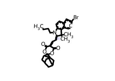 CCCCN1/C(=C\C=C2C(=O)OC3(OC2=O)C2CC4CC(C2)CC3C4)C(C)(C)c2c1ccc1cc(Br)ccc21